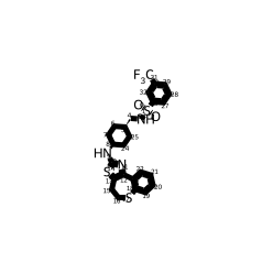 O=S(=O)(NC[C@H]1CC[C@H](Nc2nc3c(s2)CCSc2ccccc2-3)CC1)c1cccc(C(F)(F)F)c1